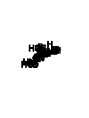 O=C(NO)c1ccc2oc(-c3ccc(NCc4ccccn4)nc3)nc2c1.O=C(O)C(F)(F)F